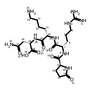 N=C(N)NCCC[C@H](NC(=O)[C@@H]1CCC(=O)N1)C(=O)N[C@@H](CCCCN)C(=O)N[C@@H](CC(N)=O)C(=O)O